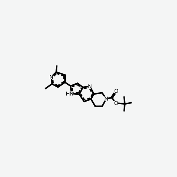 Cc1cc(-c2cc3nc4c(cc3[nH]2)CCN(C(=O)OC(C)(C)C)C4)cc(C)n1